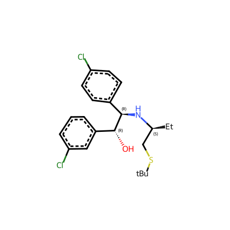 CC[C@@H](CSC(C)(C)C)N[C@H](c1ccc(Cl)cc1)[C@H](O)c1cccc(Cl)c1